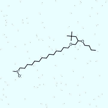 CCCCOC(COCCCCCCCCCCCCCC[S+](C)[O-])CC(C)(C)C